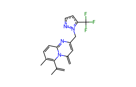 C=C(C)C1=C(C)C=CC2=NC(Cn3nccc3C(F)(F)F)=CC(=C)N21